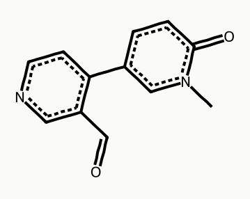 Cn1cc(-c2ccncc2C=O)ccc1=O